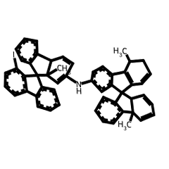 CC1CC=CC2=C1c1ccc(NC3=CC4(C)C(C=C3)c3ccccc3C43c4ccccc4-c4cccc(I)c43)cc1C21c2ccccc2C2(C)C=CC=CC21